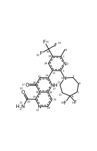 Cc1nc(N2CCCC(F)(F)CC2)c(-c2cc(=O)c3c(C(N)=O)nccc3[nH]2)cc1C(F)(F)F